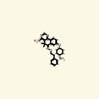 CC1(C)/C(=N/OCCc2ccccc2)c2cc(O[C@H]3CC[C@@H](N)CC3)ccc2-c2ncnc(N)c21